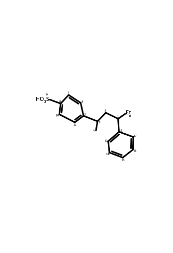 CCC(CC(C)c1ccc(S(=O)(=O)O)cc1)c1ccccc1